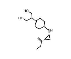 C=C(CC)[C@H]1C[C@@H]1NC1CCN(C(CO)CO)CC1